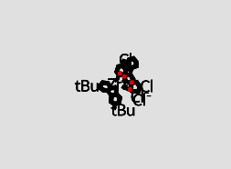 CC1=[C]([Zr+2](=[CH]c2ccc(Cl)cc2)(=[CH]c2ccc(Cl)cc2)[CH]2c3ccc(C(C)(C)C)cc3-c3cc(C(C)(C)C)ccc32)C(C)C=C1c1ccccc1.[Cl-].[Cl-]